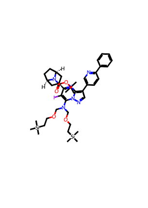 CC(C)(C)OC(=O)N1[C@@H]2CC[C@H]1C[C@@H](c1nc3c(-c4ccc(-c5ccccc5)nc4)cnn3c(N(COCC[Si](C)(C)C)COCC[Si](C)(C)C)c1I)C2